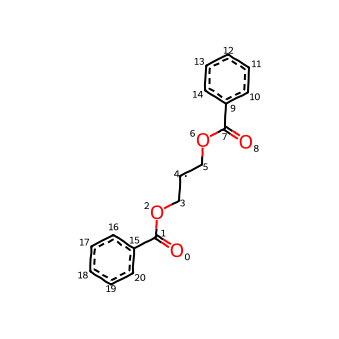 O=C(OC[CH]COC(=O)c1ccccc1)c1ccccc1